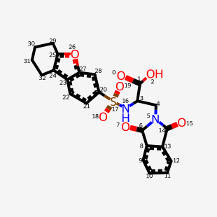 O=C(O)C(CN1C(=O)c2ccccc2C1=O)NS(=O)(=O)c1ccc2c3c(oc2c1)CCCC3